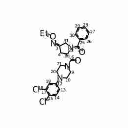 CCON=C1C[C@@H](C(=O)N2CCN(c3ccc(Cl)c(Cl)c3)CC2)N(C(=O)c2ccccc2)C1